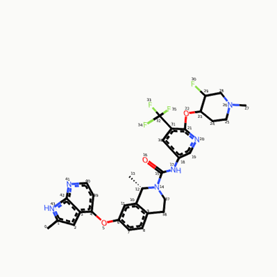 Cc1cc2c(Oc3ccc4c(c3)[C@H](C)N(C(=O)Nc3cnc(OC5CCN(C)CC5F)c(C(F)(F)F)c3)CC4)ccnc2[nH]1